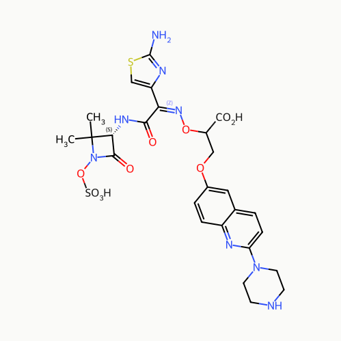 CC1(C)[C@H](NC(=O)/C(=N\OC(COc2ccc3nc(N4CCNCC4)ccc3c2)C(=O)O)c2csc(N)n2)C(=O)N1OS(=O)(=O)O